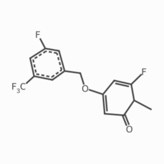 CC1C(=O)C=C(OCc2cc(F)cc(C(F)(F)F)c2)C=C1F